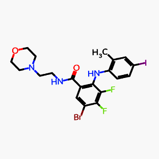 Cc1cc(I)ccc1Nc1c(C(=O)NCCN2CCOCC2)cc(Br)c(F)c1F